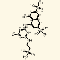 O=S(=O)(O)CCNc1nc(Cl)nc(Nc2cc(S(=O)(=O)O)cc3cc(S(=O)(=O)O)[c]c(O)c23)n1